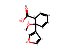 COC1(c2ccoc2)C=CC=CC1C(=O)O